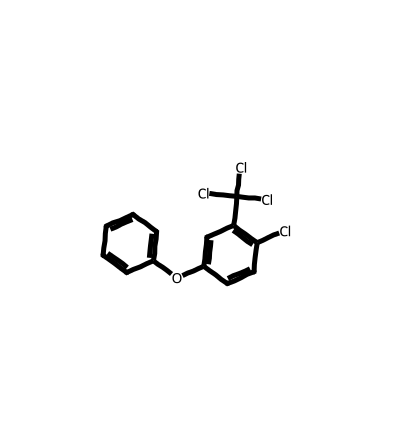 Clc1ccc(Oc2ccccc2)cc1C(Cl)(Cl)Cl